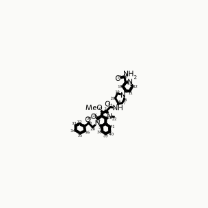 COc1c(C(=O)NC2CCN(c3ccnc(C(N)=O)c3)CC2)n(C)c2c1c(=O)n(CC(=O)c1ccccc1)c1ccccc21